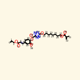 C=CCOC(=O)/C=C/c1ccc(OC(=O)c2nnc(OCCCCCCCCOC(=O)C(=C)C)nn2)c(OC)c1